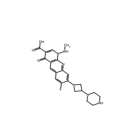 CNn1cc(C(=O)O)c(=O)c2cc3cc(F)c(N4CC(N5CCNCC5)C4)cc3nc21